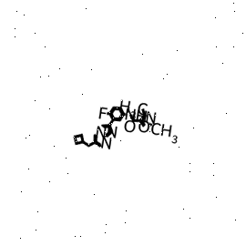 Cc1nc(C)c(C(=O)Nc2ccc(F)c(-c3cn4cc(CC5CCC5)cnc4n3)c2)o1